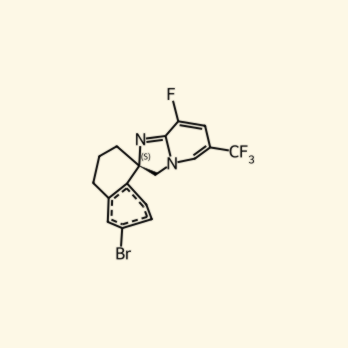 FC1=CC(C(F)(F)F)=CN2C[C@@]3(CCCc4cc(Br)ccc43)N=C12